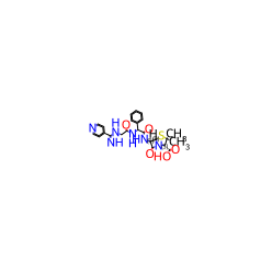 CC1(C)S[C@@H]2[C@H](NC(=O)C(NC(=O)CNC(=N)c3ccncc3)c3ccccc3)C(=O)N2[C@H]1C(=O)O